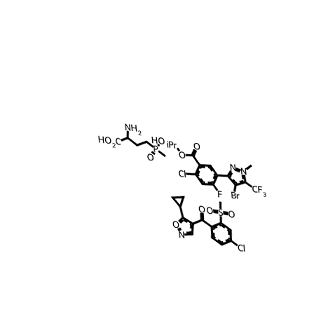 CC(C)OC(=O)c1cc(-c2nn(C)c(C(F)(F)F)c2Br)c(F)cc1Cl.CP(=O)(O)CCC(N)C(=O)O.CS(=O)(=O)c1cc(Cl)ccc1C(=O)c1cnoc1C1CC1